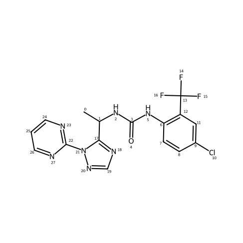 CC(NC(=O)Nc1ccc(Cl)cc1C(F)(F)F)c1ncnn1-c1ncccn1